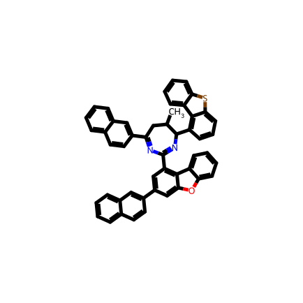 CC1CC(c2ccc3ccccc3c2)=NC(c2cc(-c3ccc4ccccc4c3)cc3oc4ccccc4c23)=NC1c1cccc2sc3ccccc3c12